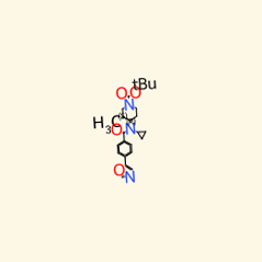 C[C@H]1CN(C(=O)OC(C)(C)C)CC[C@H]1N(C(=O)c1ccc(-c2cnco2)cc1)C1CC1